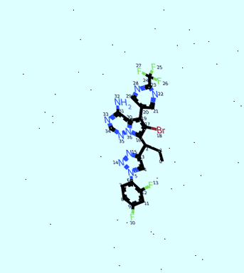 CCC(c1cn(-c2ccc(F)cc2F)nn1)c1c(Br)c(-c2cnc(C(F)(F)F)nc2)c2c(N)ncnn12